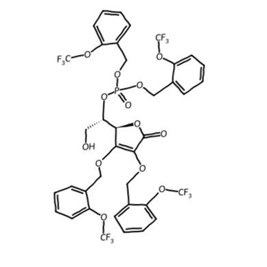 O=C1O[C@H]([C@H](CO)OP(=O)(OCc2ccccc2OC(F)(F)F)OCc2ccccc2OC(F)(F)F)C(OCc2ccccc2OC(F)(F)F)=C1OCc1ccccc1OC(F)(F)F